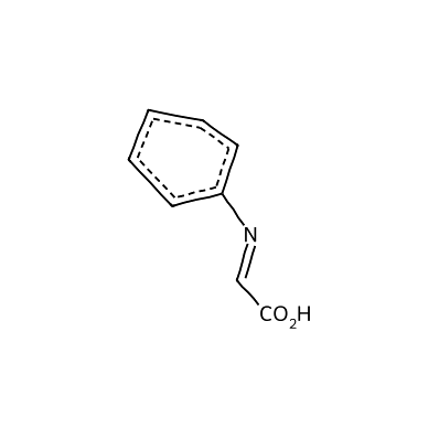 O=C(O)/C=N/c1ccccc1